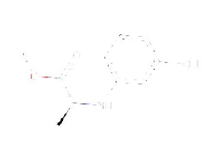 COC(=O)[C@H](C)Nc1cccc(O)c1